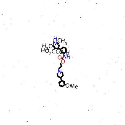 COc1cccc(C2CCN(CCCOC(=O)Nc3cccc(C4(C(=O)O)C=C(C)NC(C)=C4C(=O)O)c3)CC2)c1